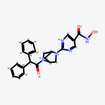 O=C(NO)c1cnc(N2CC3CC2CN3C(=O)C(c2ccccc2)c2ccccc2)nc1